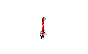 CC(=O)CCCCCCCCCCCCCCCC(=O)NC([C]=O)CCC(=O)[C]=O